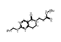 CC(C)CSc1ncc2c(n1)CCN(CCC(=O)OC(C)(C)C)C2=O